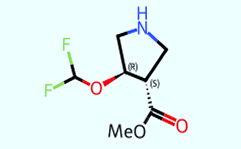 COC(=O)[C@H]1CNC[C@@H]1OC(F)F